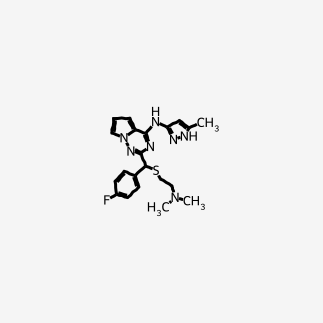 Cc1cc(Nc2nc(C(SCCN(C)C)c3ccc(F)cc3)nn3cccc23)n[nH]1